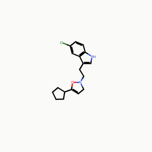 Clc1ccc2[nH]cc(CCN3CC=C(C4CCCC4)O3)c2c1